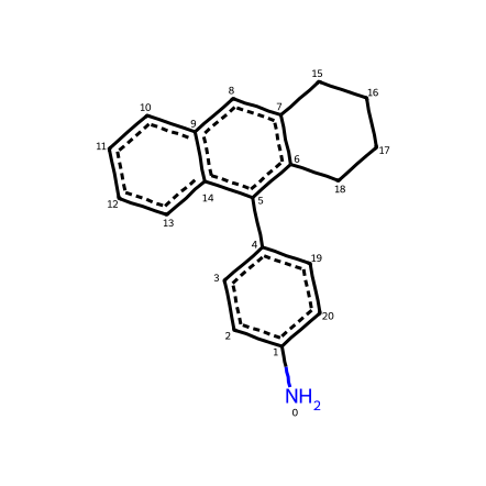 Nc1ccc(-c2c3c(cc4ccccc24)CCCC3)cc1